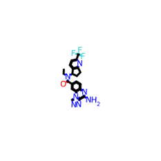 CCN(C(=O)c1ccc2nc(N)c3nncn3c2c1)C1CCc2nc(C(F)(F)F)ccc21